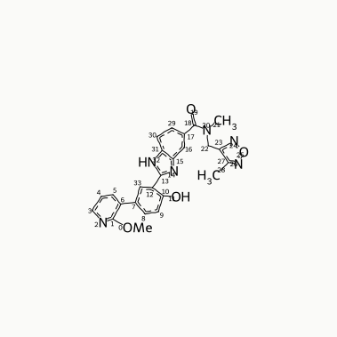 COc1ncccc1-c1ccc(O)c(-c2nc3cc(C(=O)N(C)Cc4nonc4C)ccc3[nH]2)c1